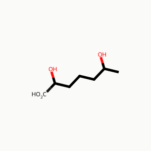 CC(O)CCCC(O)C(=O)O